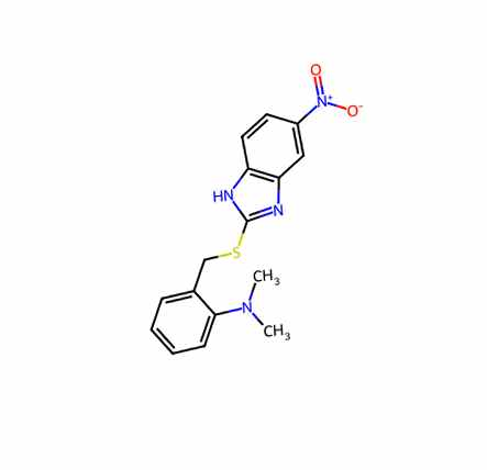 CN(C)c1ccccc1CSc1nc2cc([N+](=O)[O-])ccc2[nH]1